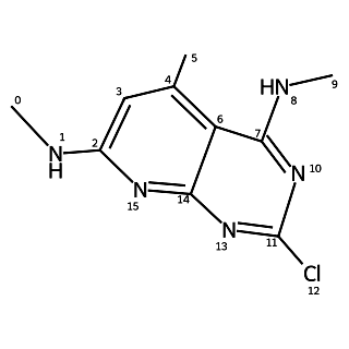 CNc1cc(C)c2c(NC)nc(Cl)nc2n1